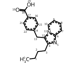 CCCCc1nc2ccccn2c1Cc1ccc(C(=O)O)cc1